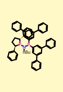 CCCCN(P(c1cc(-c2ccccc2)cc(-c2ccccc2)c1)c1cc(-c2ccccc2)cc(-c2ccccc2)c1)P1[C@@H](c2ccccc2)CC[C@@H]1c1ccccc1